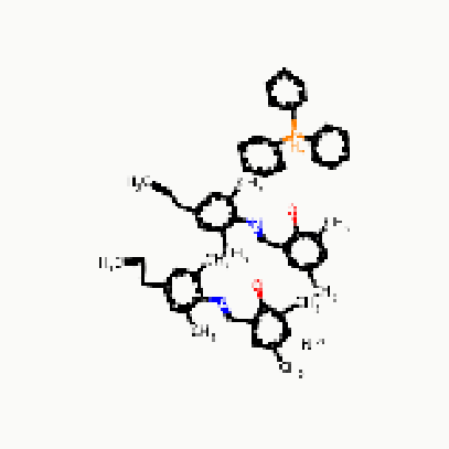 C=CCc1cc(C)c(N=Cc2cc(C)cc(C)c2[O-])c(C)c1.C=CCc1cc(C)c(N=Cc2cc(C)cc(C)c2[O-])c(C)c1.[Ni+2].c1ccc([PH2](c2ccccc2)c2ccccc2)cc1